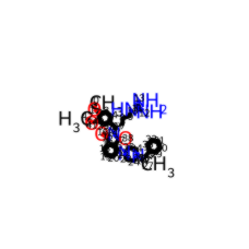 COc1ccc([C@@H](CCCNC(=N)N)N2C(=O)c3cccc(N4CCN([C@H](C)c5ccccc5)CC4)c3C2=O)cc1OC